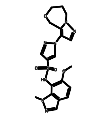 COc1ccc2cnn(C)c2c1NS(=O)(=O)c1cnn(-c2cnn3c2COCCC3)c1